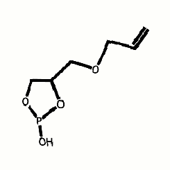 C=CCOCC1COP(O)O1